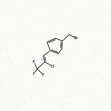 FC(F)(F)/C(Cl)=C/c1ccc(CBr)cc1